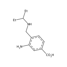 CCC(CC)NCc1ccc(C(=O)O)cc1N